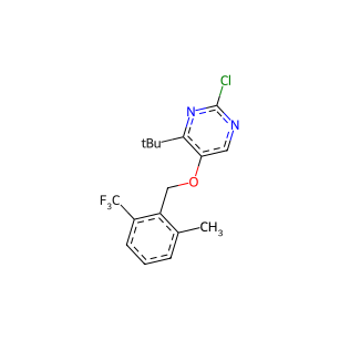 Cc1cccc(C(F)(F)F)c1COc1cnc(Cl)nc1C(C)(C)C